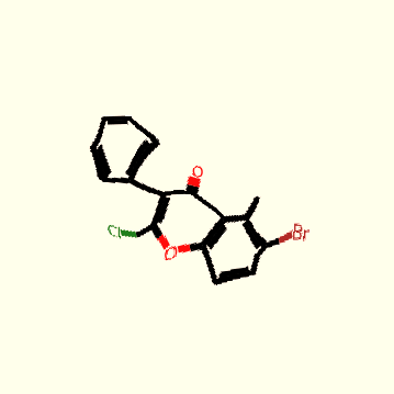 Cc1c(Br)ccc2oc(Cl)c(-c3ccccc3)c(=O)c12